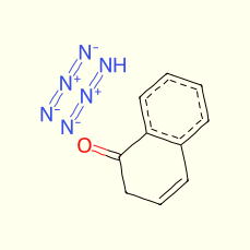 O=C1CC=Cc2ccccc21.[N-]=[N+]=N.[N-]=[N+]=[N-]